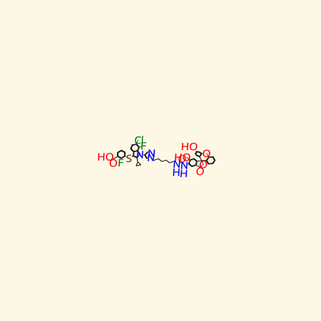 O=C(NCCCCCCn1cc(-n2c(C3CC3)c(Sc3cccc(C(=O)O)c3F)c3ccc(Cl)c(F)c32)cn1)Nc1cc2c(cc1O)C1(OC2=O)c2ccccc2Oc2cc(O)ccc21